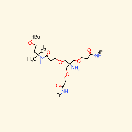 CC(C)NC(=O)CCOCC(N)(COCCC(=O)NC(C)C)COCCC(=O)NC(C)(C)CCOC(C)(C)C